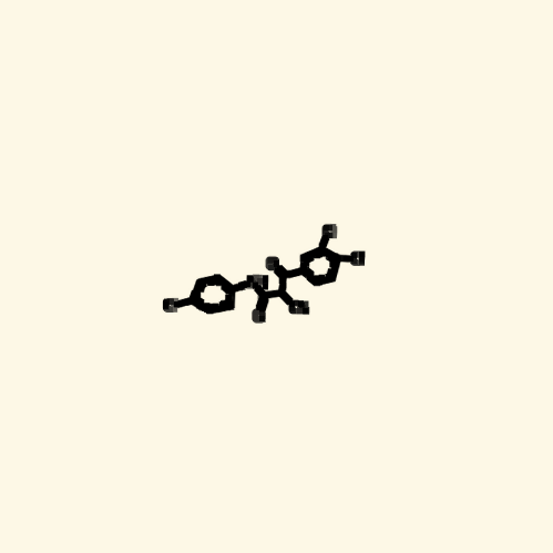 N#CC(C(=O)Nc1ccc(Cl)cc1)C(=O)c1ccc(Cl)c(Cl)c1